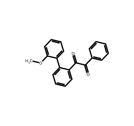 COc1ccccc1-c1ccccc1C(=O)C(=O)c1ccccc1